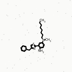 CCCCCCCCN(C)c1ccc(N)c(-c2nc(Cc3ccccc3)cs2)c1